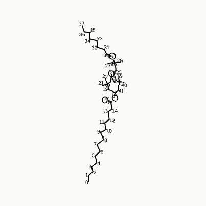 CCCCCCCCCCCCCCCC(=O)OC1CC(C)(C)N(OCC(C)(C)OCCCCCCCC)C(C)(C)C1